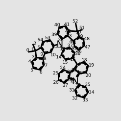 CC1(C)c2ccccc2-c2cc(N(c3ccc(-c4cccc5c4c4ccccc4n5-c4ccccc4)cc3)c3cccc4c3-c3ccccc3C4(C)C)ccc21